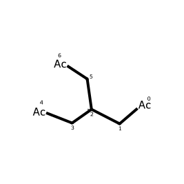 CC(=O)C[C](CC(C)=O)CC(C)=O